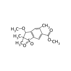 COC(=O)c1cc2c(cc1C)C(OC)C(C)(C)S2(=O)=O